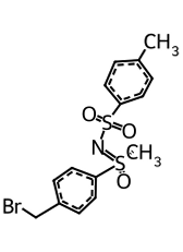 Cc1ccc(S(=O)(=O)N=[S@@](C)(=O)c2ccc(CBr)cc2)cc1